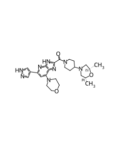 C[C@@H]1CN(C2CCN(C(=O)c3nc4c(N5CCOCC5)cc(-c5cn[nH]c5)nc4[nH]3)CC2)C[C@H](C)O1